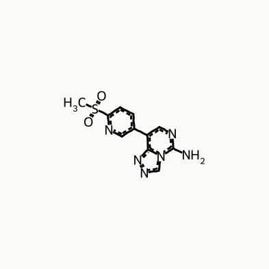 CS(=O)(=O)c1ccc(-c2cnc(N)n3cnnc23)cn1